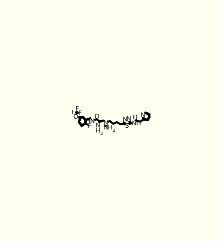 N/C(=C\N(N)CCCCc1nnc(NC(=O)Cc2ccccn2)s1)C(=O)NCc1cc(OC(F)(F)F)ccc1F